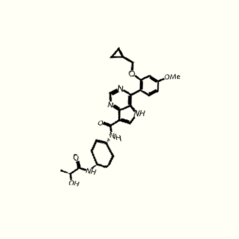 COc1ccc(-c2ncnc3c(C(=O)N[C@H]4CC[C@H](NC(=O)[C@H](C)O)CC4)c[nH]c23)c(OCC2CC2)c1